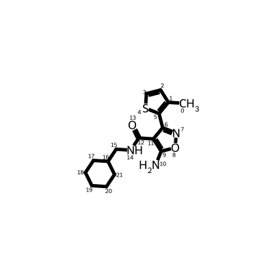 Cc1ccsc1-c1noc(N)c1C(=O)NCC1CCCCC1